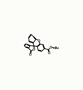 CCCCOC(=O)c1ccc2c(c1)Oc1ccccc1C21OC(=O)c2ccccc21